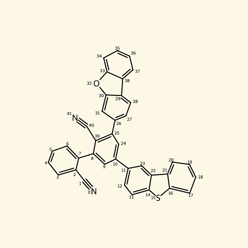 N#Cc1ccccc1-c1cc(-c2ccc3sc4ccccc4c3c2)cc(-c2ccc3c(c2)oc2ccccc23)c1C#N